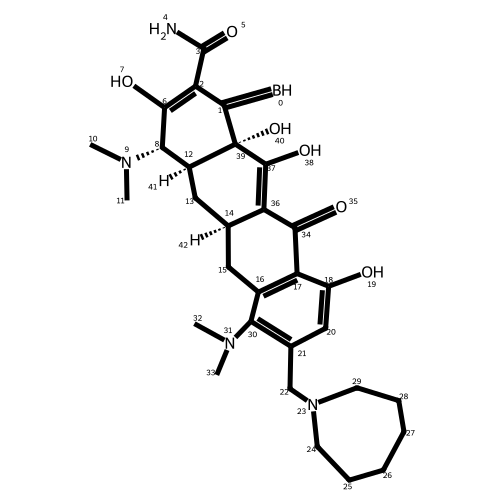 B=C1C(C(N)=O)=C(O)[C@@H](N(C)C)[C@@H]2C[C@@H]3Cc4c(c(O)cc(CN5CCCCCC5)c4N(C)C)C(=O)C3=C(O)[C@]12O